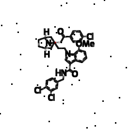 COc1cccc2c(C(=O)NCc3ccc(Cl)c(Cl)c3)cn(CCCN3[C@@H]4CC[C@H]3C[C@H](CC(=O)c3ccc(Cl)cc3)C4)c12